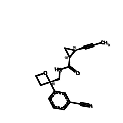 CC#C[C@@H]1C[C@@H]1C(=O)NC[C@@]1(c2cccc(C#N)c2)CCO1